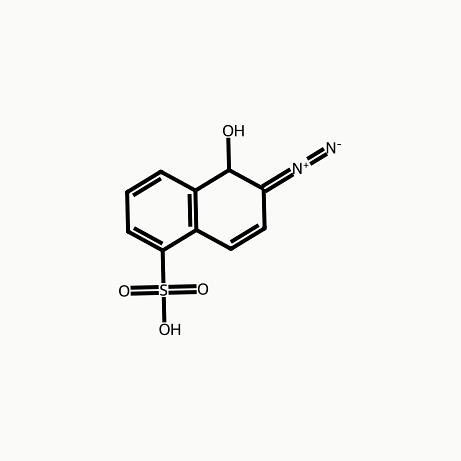 [N-]=[N+]=C1C=Cc2c(cccc2S(=O)(=O)O)C1O